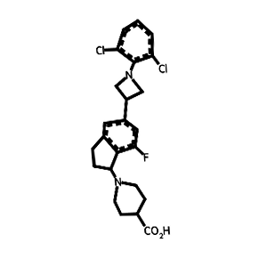 O=C(O)C1CCN(C2CCc3cc(C4CN(c5c(Cl)cccc5Cl)C4)cc(F)c32)CC1